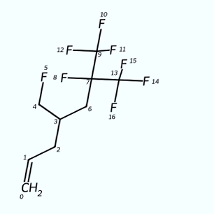 C=CCC(CF)CC(F)(C(F)(F)F)C(F)(F)F